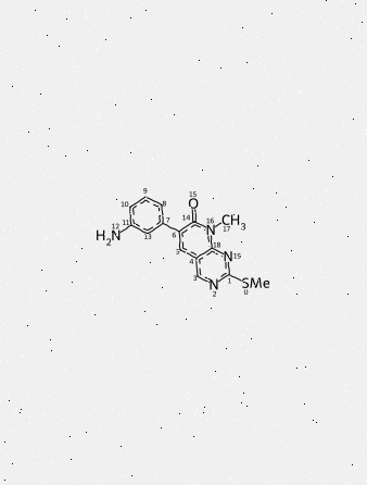 CSc1ncc2cc(-c3cccc(N)c3)c(=O)n(C)c2n1